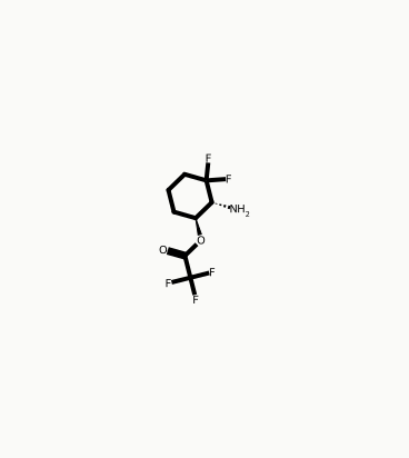 N[C@@H]1[C@@H](OC(=O)C(F)(F)F)CCCC1(F)F